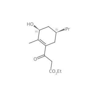 CCOC(=O)CC(=O)C1=C(C)[C@@H](O)C[C@@H](C(C)C)C1